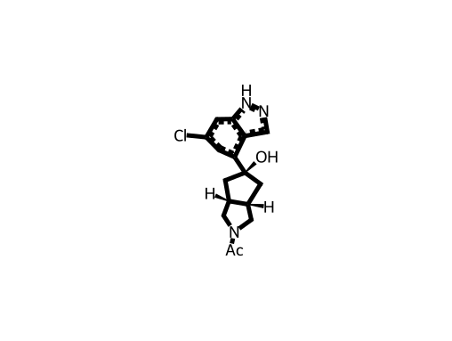 CC(=O)N1C[C@@H]2C[C@](O)(c3cc(Cl)cc4[nH]ncc34)C[C@@H]2C1